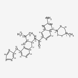 CN1CCN(c2nc(N)nc3cc(C(=O)NC(Cc4cccc(Oc5ccccc5)c4)C(=O)N(C)C)ccc23)CC1